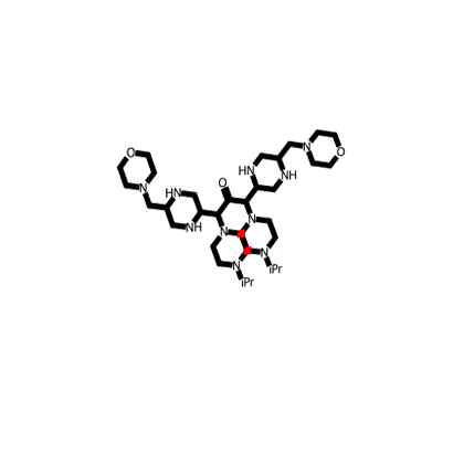 CC(C)N1CCN(C(C(=O)C(C2CNC(CN3CCOCC3)CN2)N2CCN(C(C)C)CC2)C2CNC(CN3CCOCC3)CN2)CC1